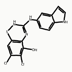 Oc1c(Cl)c(Cl)cc2c1N=C(Nc1ccc3[nH]ccc3c1)NS2